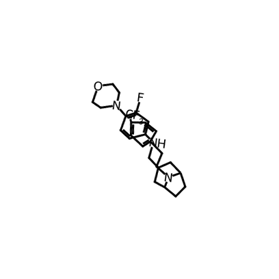 Fc1cc(NCC2CC3CCC(C2)N3CCc2ccc(C(F)(F)F)cc2)ccc1N1CCOCC1